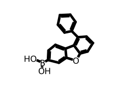 OB(O)c1ccc2c(c1)oc1cccc(-c3ccccc3)c12